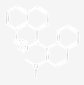 COc1cccc2cccc(N(N)c3c(N(C)C)ccc4ccccc34)c12